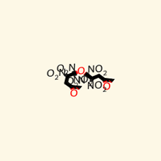 O=[N+]([O-])C(CC1CO1)C(OC(C(CC1CO1)[N+](=O)[O-])([N+](=O)[O-])[N+](=O)[O-])([N+](=O)[O-])[N+](=O)[O-]